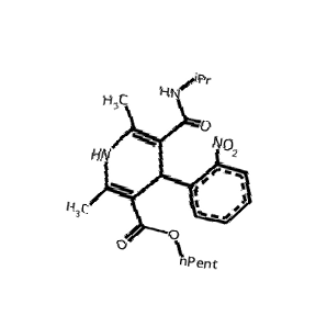 CCCCCOC(=O)C1=C(C)NC(C)=C(C(=O)NC(C)C)C1c1ccccc1[N+](=O)[O-]